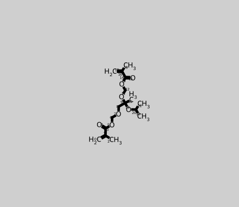 C=C(C)C(=O)OCOCC(C)(OCOC(=O)C(=C)C)OC(C)C